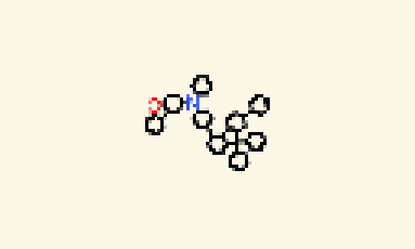 C1=CC(N(c2ccccc2)C2C=Cc3oc4ccccc4c3C2)CC=C1c1cccc2c1C1=C(CC(c3ccccc3)C=C1)C2(c1ccccc1)c1ccccc1